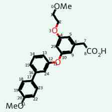 COCCOc1cc(CC(=O)O)cc(Oc2cccc(-c3ccc(OC)cc3)c2)c1